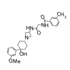 COc1cccc([C@]2(O)CC[C@H](N3CC(NC(=O)CNC(=O)c4cccc(C)c4)C3)CC2)c1